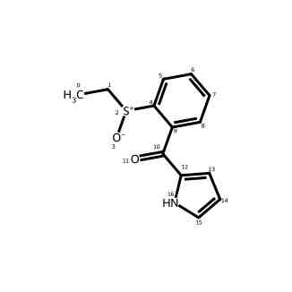 CC[S+]([O-])c1ccccc1C(=O)c1ccc[nH]1